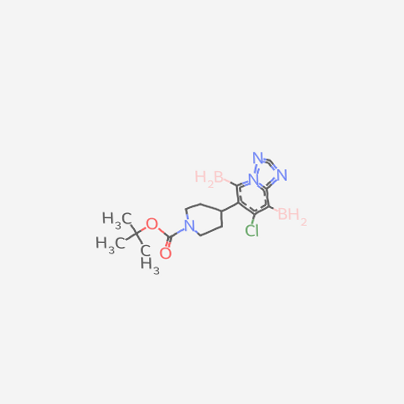 Bc1c(Cl)c(C2CCN(C(=O)OC(C)(C)C)CC2)c(B)n2ncnc12